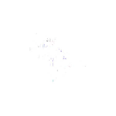 CC(=O)NC1(NC(=O)c2c(C)[nH]c3c(-c4cc(C(F)F)ccc4OCC4CC4)ncnc23)CCCC1C